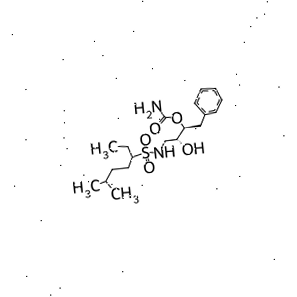 CCC(CCC(C)C)S(=O)(=O)NC[C@@H](O)[C@H](Cc1ccccc1)OC(N)=O